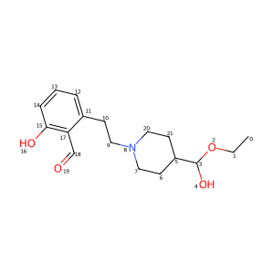 CCOC(O)C1CCN(CCc2cccc(O)c2C=O)CC1